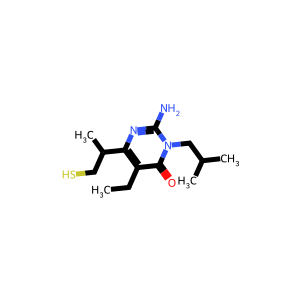 CCc1c(C(C)CS)nc(N)n(CC(C)C)c1=O